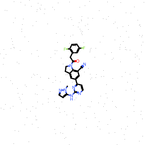 Cn1nccc1Nc1nccc(-c2cc(C#N)c3c(c2)CCN3C(=O)Cc2cc(F)ccc2F)n1